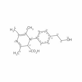 CC1=NC(C)=C(C)N(c2ccc(CCO)cc2)C1C(=O)O